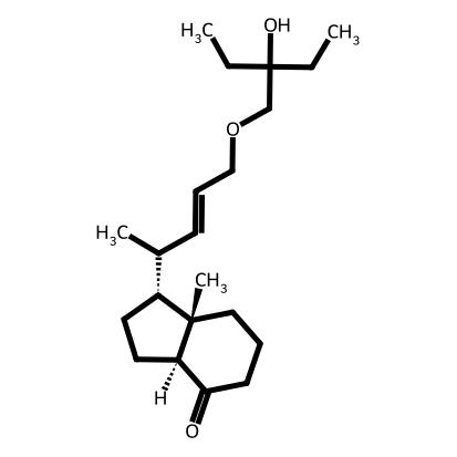 CCC(O)(CC)COC/C=C/C(C)[C@H]1CC[C@@H]2C(=O)CCC[C@]21C